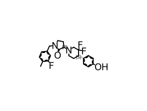 Cc1ccc(CN2CC[C@@H](N3CC[C@@H](c4ccc(O)cc4)C(F)(F)C3)C2=O)cc1F